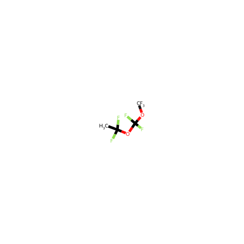 CC(F)(F)OC(F)(F)OC(F)(F)F